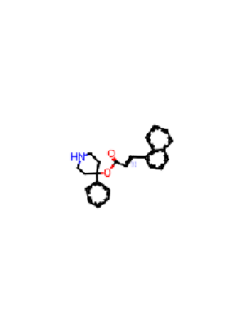 O=C(/C=C/c1cccc2ccccc12)OC1(c2ccccc2)CCNCC1